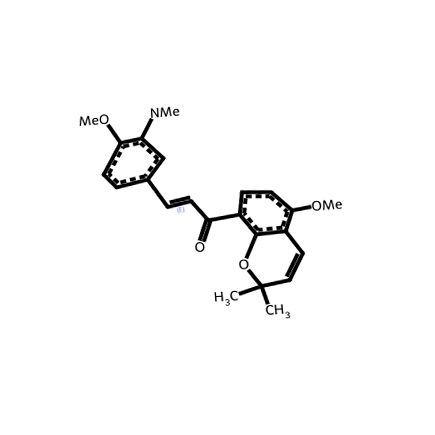 CNc1cc(/C=C/C(=O)c2ccc(OC)c3c2OC(C)(C)C=C3)ccc1OC